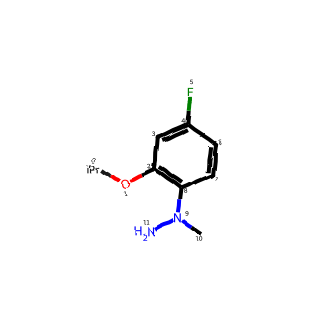 CC(C)Oc1cc(F)ccc1N(C)N